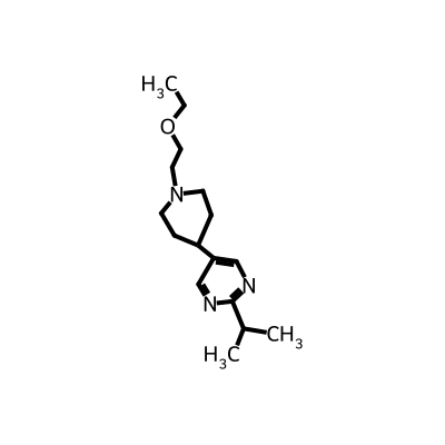 CCOCCN1CCC(c2cnc(C(C)C)nc2)CC1